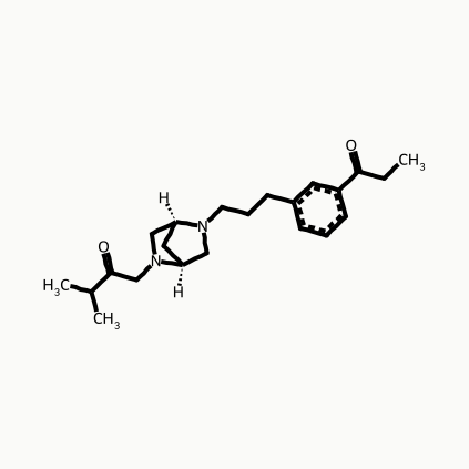 CCC(=O)c1cccc(CCCN2C[C@@H]3C[C@H]2CN3CC(=O)C(C)C)c1